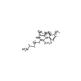 CCOC(=O)C1=C(C[Se]CCN)NC(C)=C([N+](=O)[O-])C1C1=CC=CC(C)C1=S